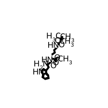 COC(=O)[C@@H](CCCCNC(=O)OC(C)(C)C)NC(=O)[C@H](N)Cc1c[nH]c2ccccc12